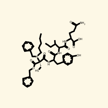 CCCCCN(Cc1ccccc1)[C@@](CS)(C(=O)NC(Cc1ccc(O)cc1)C(=O)NC(C(=O)NC(CCC(N)=O)C(=O)O)C(C)CC)C(=O)OCc1ccccc1